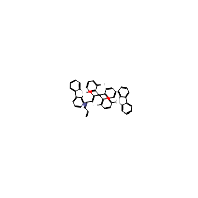 C=C/C=C\C1=C(Cn2c3ccccc3c3ccccc32)C2(c3cc(-n4c5ccccc5c5ccccc54)ccc3O1)c1ccccc1Oc1ccccc12